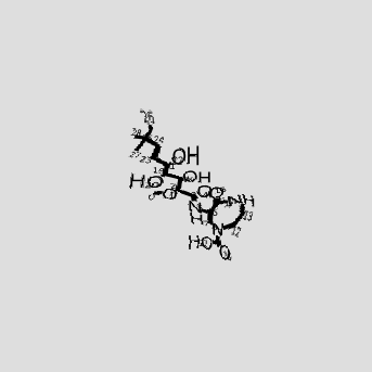 CO[C@@H](C(=O)NC1CN(C(=O)O)CCNC1=O)[C@H](O)[C@@H](O)[C@H](O)C=CC(C)(C)C